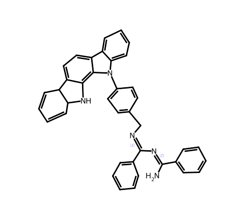 N/C(=N\C(=N/Cc1ccc(-n2c3ccccc3c3ccc4c(c32)NC2C=CC=CC42)cc1)c1ccccc1)c1ccccc1